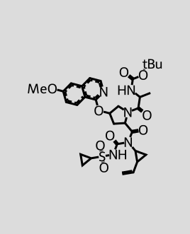 C=CC1CC1N(C(=O)NS(=O)(=O)C1CC1)C(=O)C1CC(Oc2nccc3cc(OC)ccc23)CN1C(=O)C(C)NC(=O)OC(C)(C)C